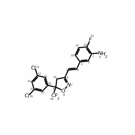 Nc1cc(C=CC2=NOC(c3cc(Cl)cc(Cl)c3)(C(F)(F)F)C2)ccc1F